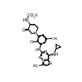 N#Cc1cc(Nc2nc(NC3CC3)c3ncc(C#N)n3n2)c(Cl)c(N2CCC(NC(=O)O)C(=O)C2)c1